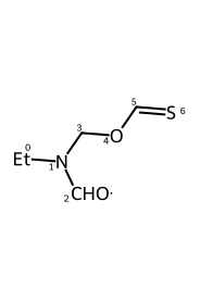 CCN([C]=O)COC=S